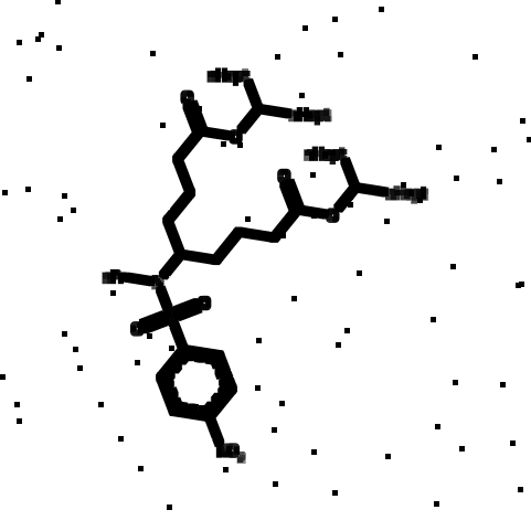 CCCCCCCC(CCCCCCC)OC(=O)CCCC(CCCC(=O)OC(CCCCCCC)CCCCCCC)N(CCC)S(=O)(=O)c1ccc([N+](=O)[O-])cc1